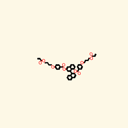 C=CC(=O)OCCCCOc1ccc(C(=O)Oc2cc(-c3c(OC(=O)c4ccc(OCCCCOC(=O)C=C)cc4)ccc4ccccc34)c3ccccc3c2)cc1